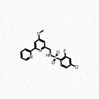 COc1cc(CNS(=O)(=O)c2ccc(Cl)cc2F)nc(-c2ccccn2)c1